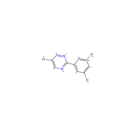 CCc1cnc(-c2cc(Br)cc(Br)c2)nc1